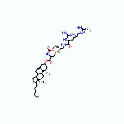 CC(=N)NCCCCC(NC(=N)N)C(=O)NCCSSCC(NC(=O)OC(C)(C)C)C(=O)OC1CCC2(C)C(=CCC3C2CCC2(C)C(CCCCC(C)C)CCC32)C1